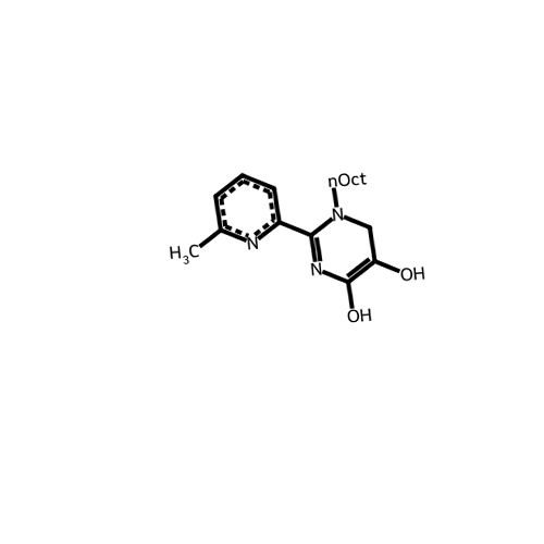 CCCCCCCCN1CC(O)=C(O)N=C1c1cccc(C)n1